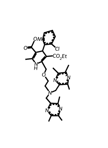 CCOC(=O)C1=C(COCCN(Cc2nc(C)c(C)nc2C)Cc2nc(C)c(C)nc2C)NC(C)=C(C(=O)OC)C1c1ccccc1Cl